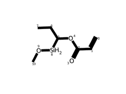 C=CC(=O)OC(CC)[SiH2]OC